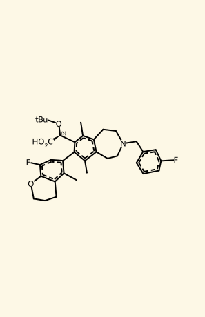 Cc1c(-c2c(C)c3c(c(C)c2[C@H](OC(C)(C)C)C(=O)O)CCN(Cc2cccc(F)c2)CC3)cc(F)c2c1CCCO2